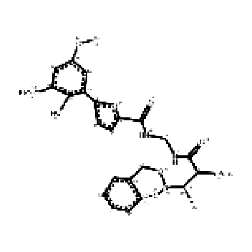 CCCCCC(C(=O)NCNC(=O)c1ccc(-c2cc(OCC)cc(C(=O)OCC)c2O)o1)[C@@H](CC)N(C=O)OCc1ccccc1